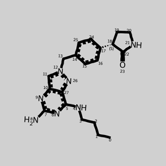 CCCCNc1nc(N)nc2cn(Cc3ccc([C@@H]4CCNC4=O)cc3)nc12